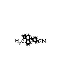 Cc1noc2c1-c1ccccc1N(c1ccc(C#N)cc1)CC2